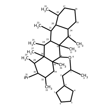 CC(CC1CCCC1)OC1C2(C)C(C)C3CCCC(C)C3C(C)C2C(C)C2(C)C(C)C(C(C)C)C(C)CC12C